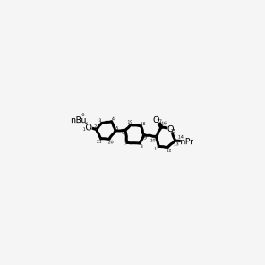 CCCCOC1CCC(C2CCC(C3CCC(CCC)OC3=O)CC2)CC1